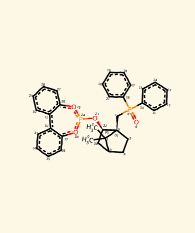 CC1(C)C2CC[C@@]1(CP(=O)(c1ccccc1)c1ccccc1)[C@H](Op1oc3ccccc3c3ccccc3o1)C2